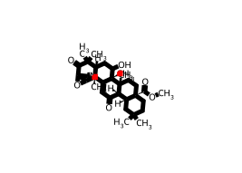 COC(=O)[C@]12CCC(C)(C)C[C@H]1[C@H]1C(=O)C=C3[C@@]4(C)C5OC5(C#N)C(=O)C(C)(C)[C@@H]4CC(O)[C@@]3(C)[C@]1(C)CC2